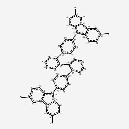 Cc1ccc2c(c1)c1cc(C)ccc1n2-c1ccc(-c2ccncc2-c2cnccc2-c2ccc(-n3c4ccc(C)cc4c4cc(C)ccc43)cc2)cc1